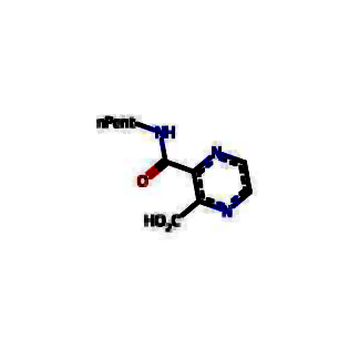 CCCCCNC(=O)c1nccnc1C(=O)O